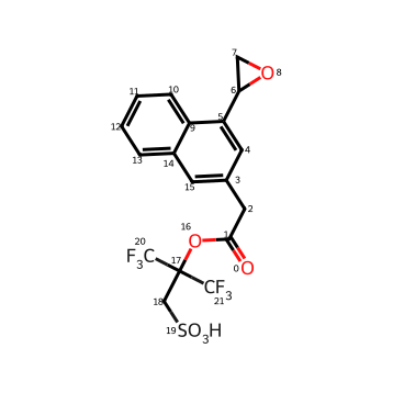 O=C(Cc1cc(C2CO2)c2ccccc2c1)OC(CS(=O)(=O)O)(C(F)(F)F)C(F)(F)F